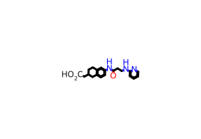 O=C(O)CC1CCc2cc(NC(=O)CCNc3ccccn3)ccc2C1